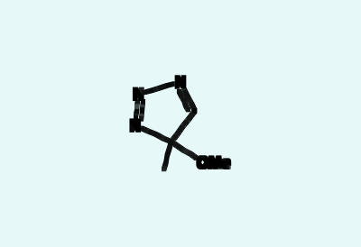 COC1(C)C=NN=N1